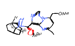 CCCCO[C@@H]1CC2CC[C@H](C1)[C@@H]2NC(=O)c1ncn2c(COC)cc(C)nc12